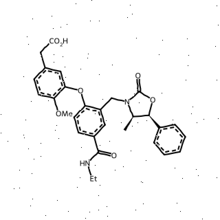 CCNC(=O)c1ccc(Oc2cc(CC(=O)O)ccc2OC)c(CN2C(=O)O[C@@H](c3ccccc3)[C@H]2C)c1